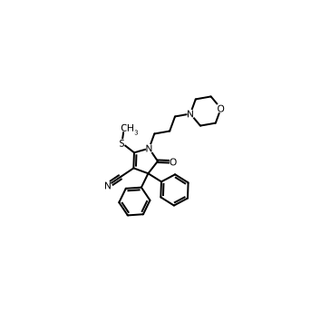 CSC1=C(C#N)C(c2ccccc2)(c2ccccc2)C(=O)N1CCCN1CCOCC1